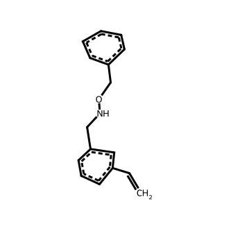 C=Cc1cccc(CNOCc2ccccc2)c1